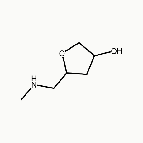 CNCC1CC(O)CO1